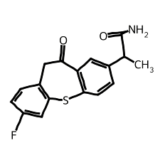 CC(C(N)=O)c1ccc2c(c1)C(=O)Cc1ccc(F)cc1S2